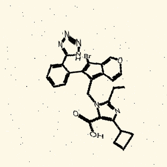 CCc1nc(C2CCC2)c(C(=O)O)n1Cc1c2ccocc-2c(Br)c1-c1ccccc1-c1nnn[nH]1